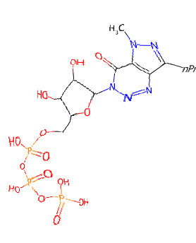 CCCc1nn(C)c2c(=O)n(C3OC(COP(=O)(O)OP(=O)(O)OP(=O)(O)O)C(O)C3O)nnc12